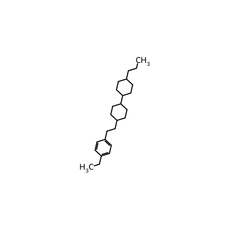 CCCC1CCC(C2CCC(CCc3ccc(CC)cc3)CC2)CC1